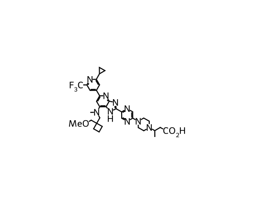 COCC1(CN(C)c2cc(-c3cc(C4CC4)nc(C(F)(F)F)c3)nc3nc(-c4cnc(N5CCN(C(C)CC(=O)O)CC5)cn4)[nH]c23)CCC1